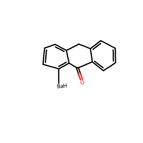 O=C1c2ccccc2Cc2ccc[c]([BaH])c21